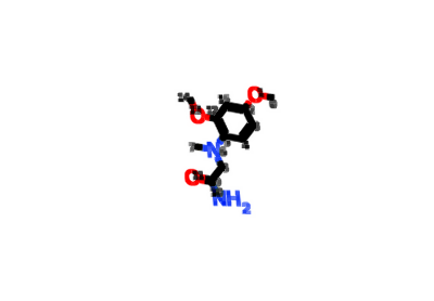 COc1ccc(N(C)CC(N)=O)c(OC)c1